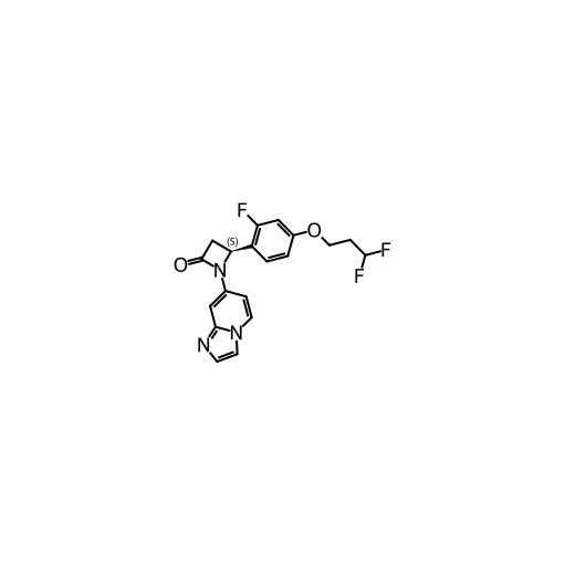 O=C1C[C@@H](c2ccc(OCCC(F)F)cc2F)N1c1ccn2ccnc2c1